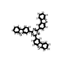 c1ccc2c(c1)sc1cc(-c3nc(-c4ccc5sc6ccccc6c5c4)nc(-c4ccc5sc6ccccc6c5c4)n3)ccc12